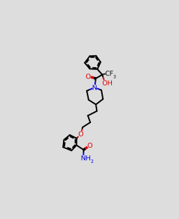 NC(=O)c1ccccc1OCCCCC1CCN(C(=O)C(O)(c2ccccc2)C(F)(F)F)CC1